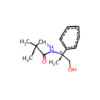 CC(C)(C)C(=O)N[C@@](C)(CO)c1ccccc1